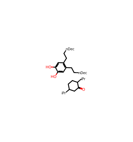 CC(C)C1CCC(C(C)C)C(=O)C1.CCCCCCCCCCCCc1cc(O)c(O)cc1CCCCCCCCCCCC